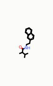 CC(C)C(C)C(=O)NCCc1ccc2ccccc2c1